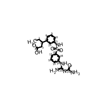 CCC(CC(=O)O)c1cccc(NS(=O)(=O)c2cccc(N/C(N)=N\C(N)=O)c2)c1